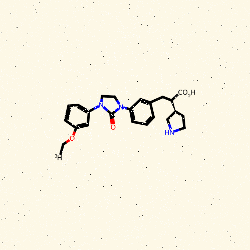 [3H]COc1cccc(N2CCN(c3cccc(CC(C(=O)O)[C@H]4CCNC4)c3)C2=O)c1